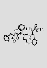 CC(C)OC(=O)C(O)C(CC1CCCCC1)NCC(CCC=O)NC(=O)C(Cc1ccccc1)N1Cc2ccccc2C1=O